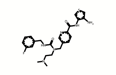 CN(C)CCN(Cc1ccc(C(=O)Nc2cscc2N)nc1)C(=O)NCc1cccc(F)c1